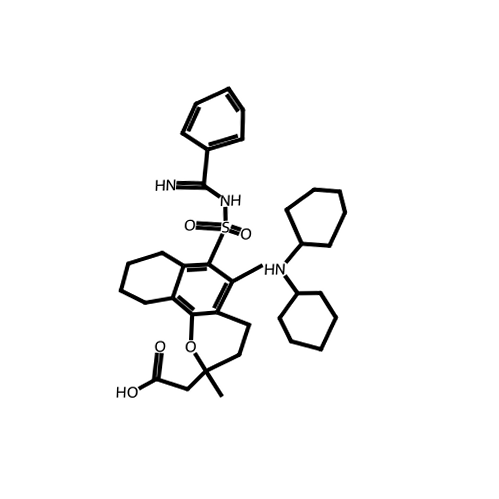 C1CCC(NC2CCCCC2)CC1.Cc1c2c(c3c(c1S(=O)(=O)NC(=N)c1ccccc1)CCCC3)OC(C)(CC(=O)O)CC2